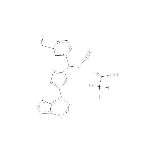 C#CCC(c1cccc(C=O)c1)n1cc(-c2ncnc3[nH]ccc23)cn1.O=C(O)C(F)(F)F